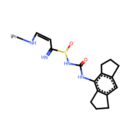 CC(C)N/C=C\C(=N)[S+]([O-])NC(=O)Nc1c2c(cc3c1CCC3)CCC2